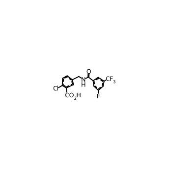 O=C(NCc1ccc(Cl)c(C(=O)O)c1)c1cc(F)cc(C(F)(F)F)c1